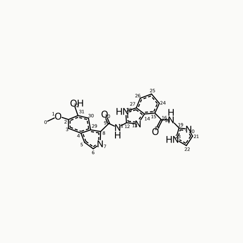 COc1cc2ccnc(C(=O)Nc3nc4c(C(=O)Nc5ncc[nH]5)cccc4[nH]3)c2cc1O